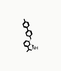 Cc1ccc(C2=CCC(C[C@H]3C=CC=C(C(C)C)[C@H]3C=N)C=C2)cc1